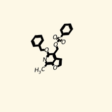 Cc1nc(OCc2ccccc2)c(COS(=O)(=O)c2ccccc2)c2ccoc12